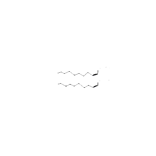 CCCCCC/C=C\CCCCCCCC=O.CCCCCC/C=C\CCCCCCCC=O